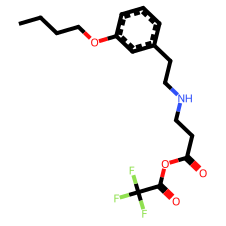 CCCCOc1cccc(CCNCCC(=O)OC(=O)C(F)(F)F)c1